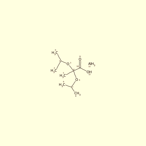 CC(C)OC(C)(OC(C)C)C(=O)O.[AlH3]